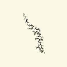 C=CCC/C=C/CCC1COC(c2cc(F)c(C(F)(F)Oc3cc(F)c(OCc4cc(F)c(OC(F)(F)F)c(F)c4)c(F)c3)c(F)c2)OC1